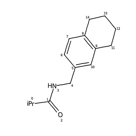 CC(C)C(=O)NCc1ccc2c(c1)CCCC2